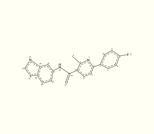 Cc1nc(-c2ccc(F)cc2)ccc1C(=O)Nc1ccc2scnc2c1